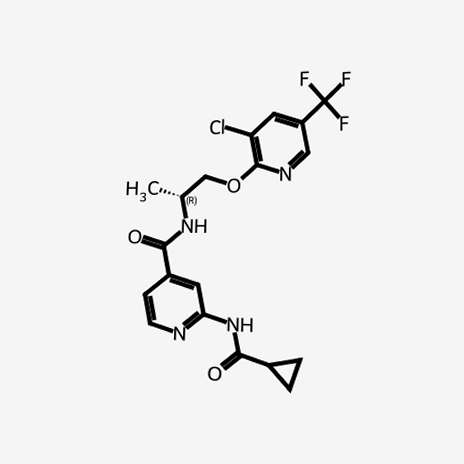 C[C@H](COc1ncc(C(F)(F)F)cc1Cl)NC(=O)c1ccnc(NC(=O)C2CC2)c1